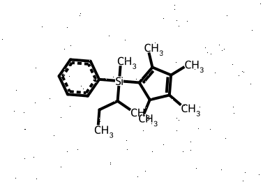 CCC(C)[Si](C)(C1=C(C)C(C)=C(C)C1C)c1ccccc1